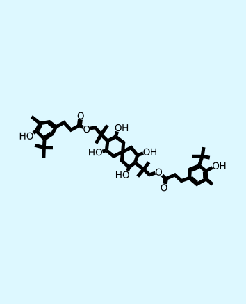 Cc1cc(CCC(=O)OCC(C)(C)C2C(O)CC3(CC2O)CC(O)C(C(C)(C)COC(=O)CCc2cc(C)c(O)c(C(C)(C)C)c2)C(O)C3)cc(C(C)(C)C)c1O